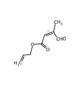 C=CCOC(=O)/C=C(/C)C=O